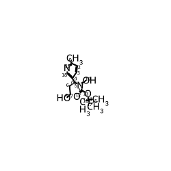 Cc1ccc([C@H](CCO)N(O)C(=O)OC(C)(C)C)cn1